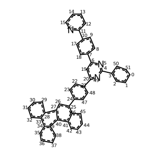 c1ccc(-c2nc(-c3ccc(-c4ccccn4)cc3)cc(-c3ccc(-c4cc5c6ccccc6c6ccccc6c5c5ccccc45)cc3)n2)cc1